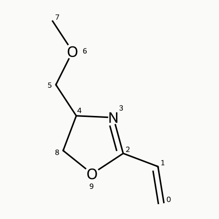 C=CC1=NC(COC)CO1